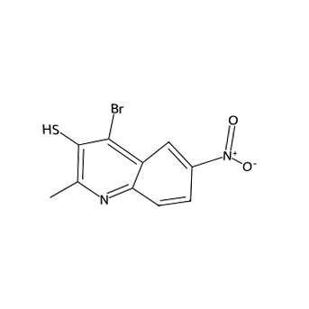 Cc1nc2ccc([N+](=O)[O-])cc2c(Br)c1S